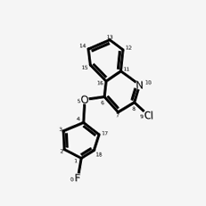 Fc1ccc(Oc2cc(Cl)nc3ccccc23)cc1